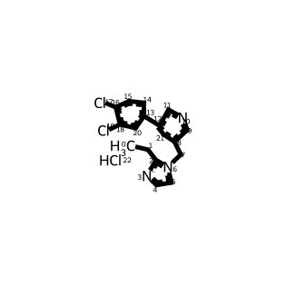 CCc1nccn1Cc1cncc(-c2ccc(Cl)c(Cl)c2)c1.Cl